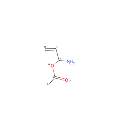 C=CC(N)OC(C)=O